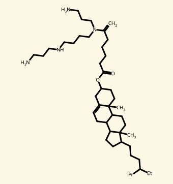 C=C(CCCCC(=O)OC1CCC2(C)C(=CCC3C2CCC2(C)C(CCCC(CC)C(C)C)CCC32)C1)N(CCCN)CCCCNCCCN